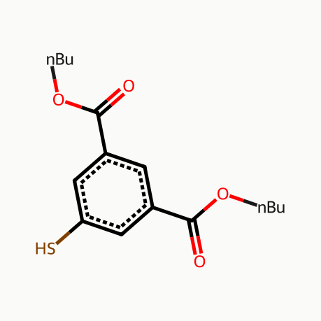 CCCCOC(=O)c1cc(S)cc(C(=O)OCCCC)c1